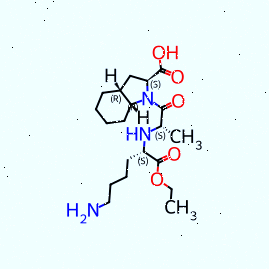 CCOC(=O)[C@H](CCCCN)N[C@@H](C)C(=O)N1[C@@H]2CCCC[C@@H]2C[C@H]1C(=O)O